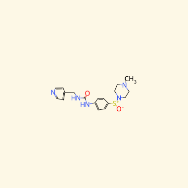 CN1CCN([S+]([O-])c2ccc(NC(=O)NCc3ccncc3)cc2)CC1